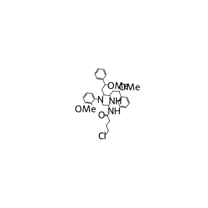 COc1ccccc1N1CC(NC(=O)CCCCl)NC(CC(OC)c2ccccc2)C1CC(OC)c1ccccc1